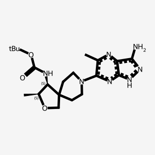 Cc1nc2c(N)n[nH]c2nc1N1CCC2(CC1)CO[C@@H](C)[C@H]2NC(=O)OC(C)(C)C